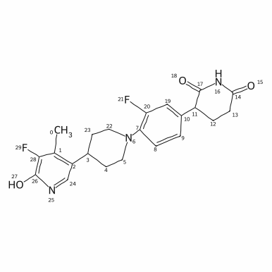 Cc1c(C2CCN(c3ccc(C4CCC(=O)NC4=O)cc3F)CC2)cnc(O)c1F